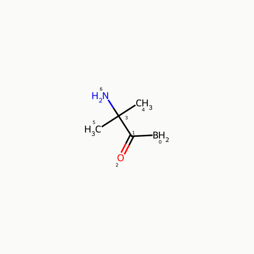 BC(=O)C(C)(C)N